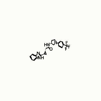 O=C(C[C@@H]1C[C@H]1c1nc2ccccc2[nH]1)N[C@@H]1CCN(c2ccc(C(F)(F)F)cc2)C1